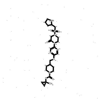 CC1(OC(=O)N2CCC(COc3cnc(N4CCN(S(=O)(=O)CC5CCCN5)CC4=O)cn3)CC2)CC1